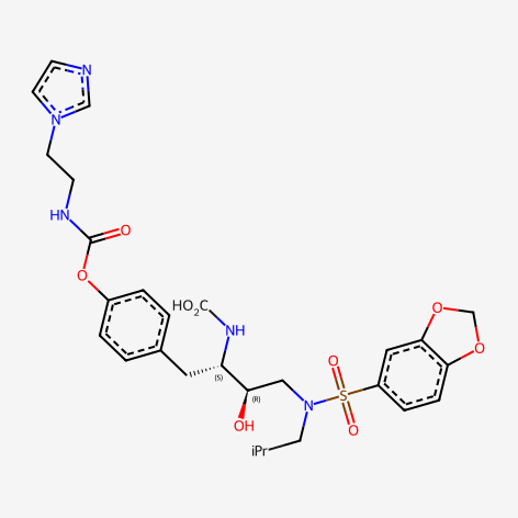 CC(C)CN(C[C@@H](O)[C@H](Cc1ccc(OC(=O)NCCn2ccnc2)cc1)NC(=O)O)S(=O)(=O)c1ccc2c(c1)OCO2